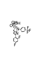 O=P(O)(O)OCN(c1ccc(C(F)(F)F)cc1)c1nc(-c2ccc(F)cc2F)cs1